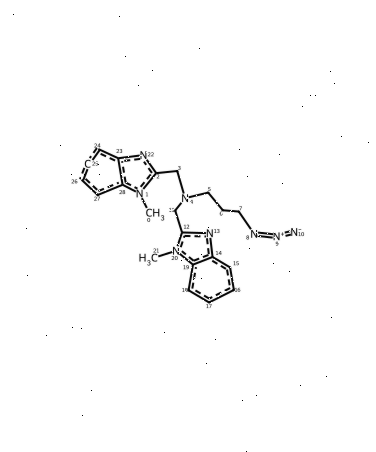 Cn1c(CN(CCCN=[N+]=[N-])Cc2nc3ccccc3n2C)nc2ccccc21